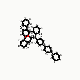 c1ccc(-c2ccc(-c3ccc(N(c4ccc5ccccc5c4)c4ccccc4-c4cccc5sc6ccccc6c45)cc3)cc2)cc1